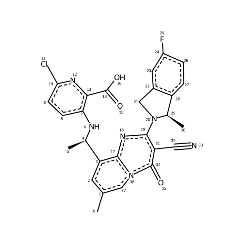 Cc1cc([C@@H](C)Nc2ccc(Cl)nc2C(=O)O)c2nc(N3Cc4cc(F)ccc4[C@H]3C)c(C#N)c(=O)n2c1